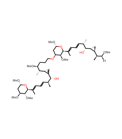 CC[C@H](OC)[C@@H](C)[C@@H]1C[C@H]1[C@H](O)[C@@H](C)/C=C/C=C(\C)[C@@H]1O[C@@H](OC)C[C@H](OCCC[C@H](OC)[C@@H](C)[C@@H]2C=C2[C@H](O)[C@@H](C)/C=C/C=C(\C)[C@@H]2O[C@@H](OC)C[C@H](OC)[C@H]2OC)[C@@H]1OC